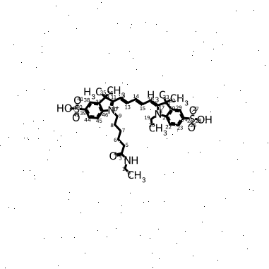 CCNC(=O)CCCCC[N+]1=C(/C=C/C=C/C=C2\N(CC)c3ccc(S(=O)(=O)O)cc3C2(C)C)C(C)(C)c2cc(S(=O)(=O)O)ccc21